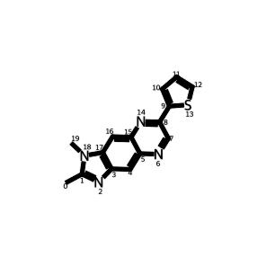 Cc1nc2cc3ncc(-c4cccs4)nc3cc2n1C